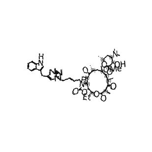 CC[C@H]1OC(=O)[C@H](C)C(=O)[C@H](C)[C@@H](O[C@@H]2O[C@H](C)C[C@H](N(C)C)[C@H]2O)[C@@](C)(OC)C[C@@H](C)C(=O)[C@H](C)[C@@H]2C1OC(=O)N2CCCCn1cc(Cc2c[nH]c3ccccc23)nn1